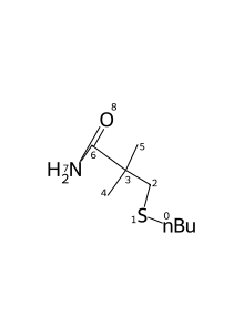 CCCCSCC(C)(C)C(N)=O